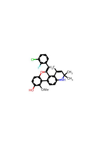 COc1c(O)ccc2c1-c1ccc3c(c1/C(=C/c1cccc(Cl)c1F)O2)C(C)=CC(C)(C)N3